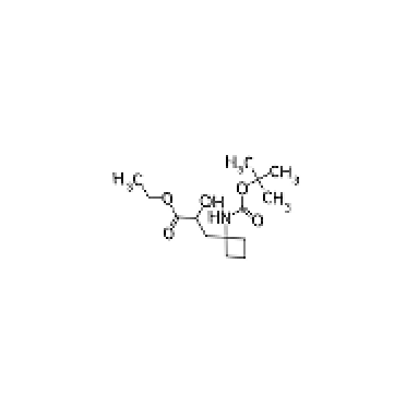 CCOC(=O)C(O)CC1(NC(=O)OC(C)(C)C)CCC1